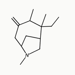 C=C1CC2CC(CN2C)C(C)(CC)C1C